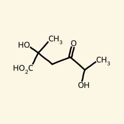 CC(O)C(=O)CC(C)(O)C(=O)O